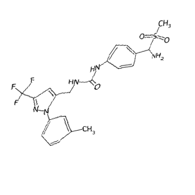 Cc1cccc(-n2nc(C(F)(F)F)cc2CNC(=O)Nc2ccc(C(N)S(C)(=O)=O)cc2)c1